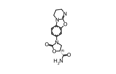 NC(=O)[C@H]1CN(c2ccc3c(c2)OC2=NCCCN23)C(=O)O1